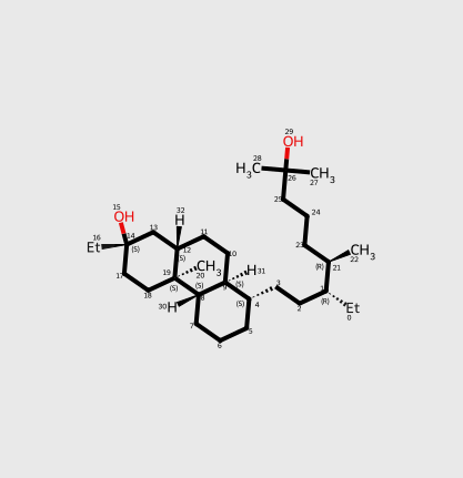 CC[C@H](CC[C@@H]1CCC[C@H]2[C@H]1CC[C@H]1C[C@](O)(CC)CC[C@@]12C)[C@H](C)CCCC(C)(C)O